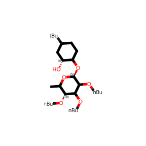 CCCCOC1C(OCCCC)[C@H](OCCCC)C(C)O[C@H]1OC1CCC(C(C)(C)C)C[C@H]1O